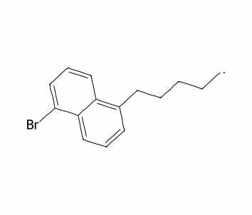 [CH2]CCCCc1cccc2c(Br)cccc12